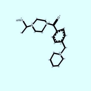 CCCCCCC(C)N1CCN(C(=O)c2ccc(CN3CCCCC3)cc2)CC1